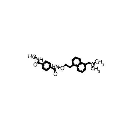 CN(C)Cc1cccc2c(CCONC(=O)c3ccc(C(=O)NO)cc3)cccc12